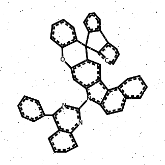 c1ccc(-c2nc(-n3c4cc5c(cc4c4c6ccccc6ccc43)C3(c4ccccc4O5)c4ccccc4-c4ccccc43)nc3ccccc23)cc1